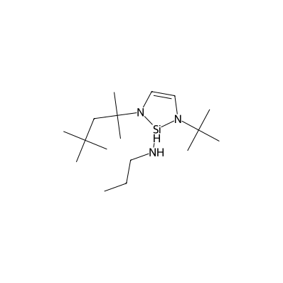 CCCN[SiH]1N(C(C)(C)C)C=CN1C(C)(C)CC(C)(C)C